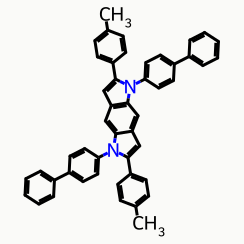 Cc1ccc(-c2cc3cc4c(cc(-c5ccc(C)cc5)n4-c4ccc(-c5ccccc5)cc4)cc3n2-c2ccc(-c3ccccc3)cc2)cc1